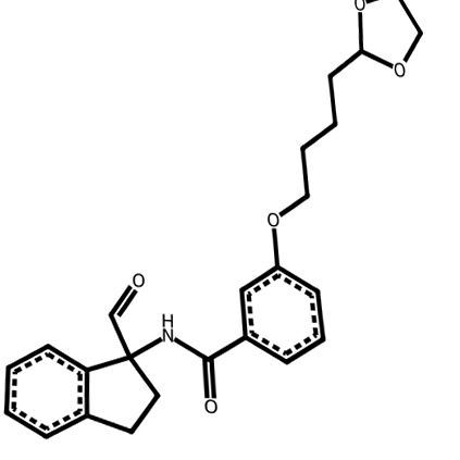 O=CC1(NC(=O)c2cccc(OCCCCC3OCCO3)c2)CCc2ccccc21